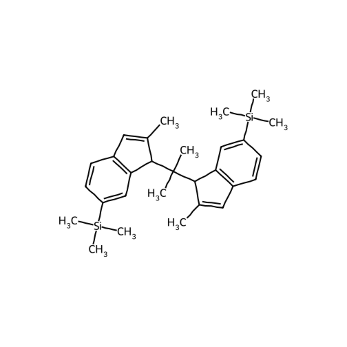 CC1=Cc2ccc([Si](C)(C)C)cc2C1C(C)(C)C1C(C)=Cc2ccc([Si](C)(C)C)cc21